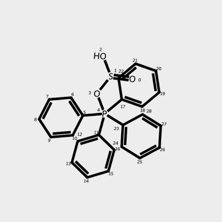 O=S(O)OP(c1ccccc1)(c1ccccc1)(c1ccccc1)c1ccccc1